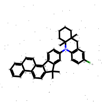 CC1(C)c2cc(N3c4ccc(F)cc4CC4(C)CCCCC34C)ccc2-c2c1ccc1c2ccc2ccccc21